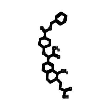 CC(=O)N(OC1CCN(C(=O)OCc2ccccc2)CC1)c1ccc2c(c1)C(C)N(CCC(=O)O)CC2